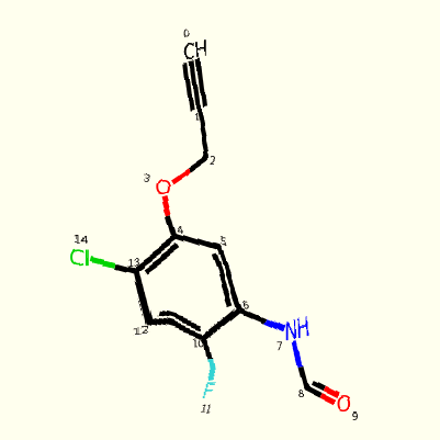 C#CCOc1cc(NC=O)c(F)cc1Cl